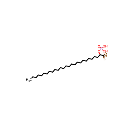 CCCCCCCCCCCCCCCCCCCCCCCCCC(OP(=O)(O)O)C(=S)S